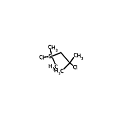 CC(C)(Cl)C[Si](C)(C)Cl